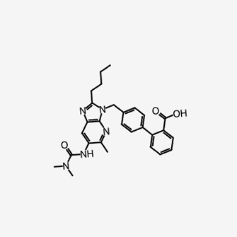 CCCCc1nc2cc(NC(=O)N(C)C)c(C)nc2n1Cc1ccc(-c2ccccc2C(=O)O)cc1